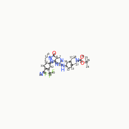 CC(C)n1c(=O)c2cnc(Nc3ccc4c(c3)CCN(C(=O)OC(C)(C)C)C4)nc2n1-c1ccc(C#N)c(C(F)(F)F)c1